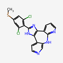 CSc1cc(Cl)c(-c2nc3c([nH]2)-c2ccncc2Nc2ncccc2-3)c(Cl)c1